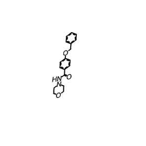 O=C(NN1CCOCC1)c1ccc(OCc2ccccc2)cc1